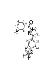 O=C(c1cccc(F)c1)N1CCC(c2ccc(OC(F)(F)F)cc2)=N1